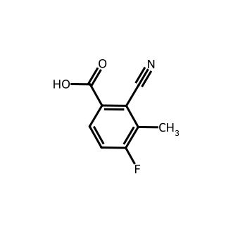 Cc1c(F)ccc(C(=O)O)c1C#N